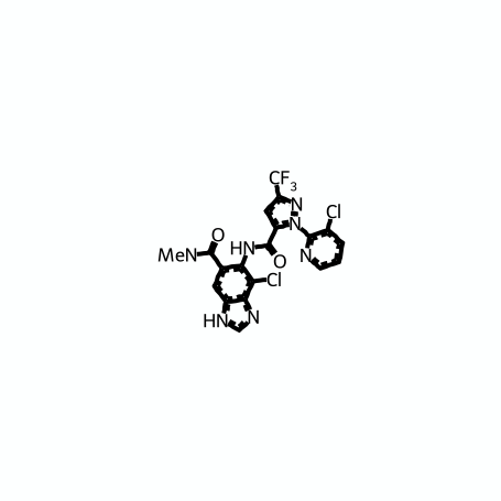 CNC(=O)c1cc2[nH]cnc2c(Cl)c1NC(=O)c1cc(C(F)(F)F)nn1-c1ncccc1Cl